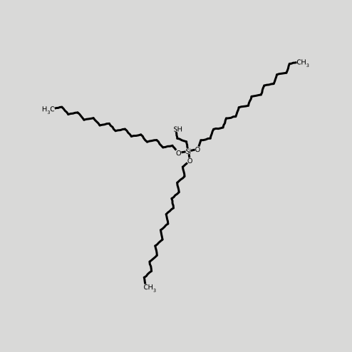 CCCCCCCCCCCCCCCCO[Si](CCS)(OCCCCCCCCCCCCCCCC)OCCCCCCCCCCCCCCCC